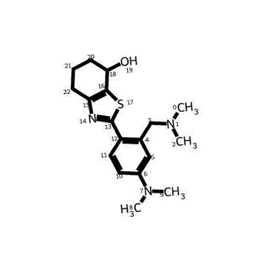 CN(C)Cc1cc(N(C)C)ccc1-c1nc2c(s1)C(O)CCC2